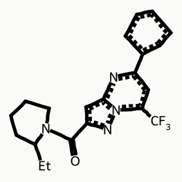 CCC1CCCCN1C(=O)c1cc2nc(-c3ccccc3)cc(C(F)(F)F)n2n1